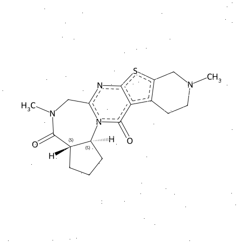 CN1CCc2c(sc3nc4n(c(=O)c23)[C@H]2CCC[C@@H]2C(=O)N(C)C4)C1